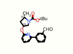 C[C@H]1C[C@H](Oc2cccc(-c3cccc(C=O)c3)n2)CN1C(=O)OC(C)(C)C